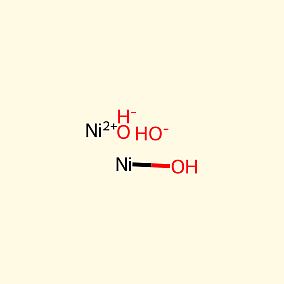 [Ni+2].[OH-].[OH-].[OH][Ni]